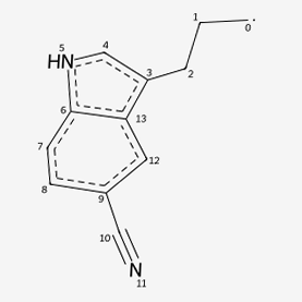 [CH2]CCc1c[nH]c2ccc(C#N)cc12